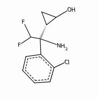 NC(c1ccccc1Cl)(C(F)F)[C@@H]1CC1O